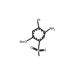 COc1cc(C(C)C)c(N)cc1S(C)(=O)=O